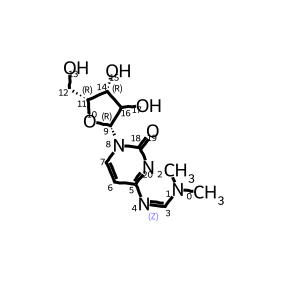 CN(C)/C=N\c1ccn([C@@H]2O[C@H](CO)[C@H](O)C2O)c(=O)n1